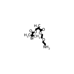 CC(COC(=O)C(C)(C)Br)C(=O)OCCOCCN